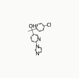 CC(O)(c1ccc(Cl)cc1)c1ccc(-n2ccnc2)nc1